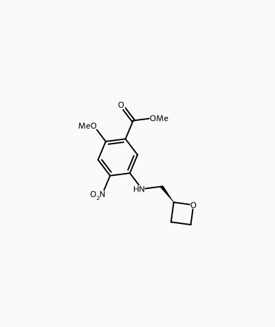 COC(=O)c1cc(NC[C@@H]2CCO2)c([N+](=O)[O-])cc1OC